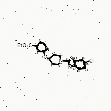 CCOC(=O)c1cccc(OC2CCN(c3nc4ccc(Cl)cc4s3)CC2)c1